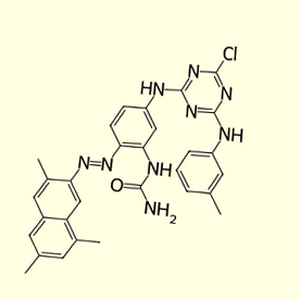 Cc1cccc(Nc2nc(Cl)nc(Nc3ccc(N=Nc4cc5c(C)cc(C)cc5cc4C)c(NC(N)=O)c3)n2)c1